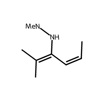 C/C=C\C(NNC)=C(C)C